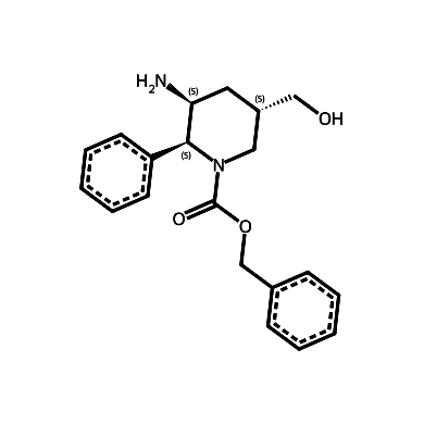 N[C@H]1C[C@H](CO)CN(C(=O)OCc2ccccc2)[C@H]1c1ccccc1